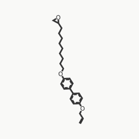 C=CCOc1ccc(-c2ccc(OCCCCCCCCCC3CO3)cc2)cc1